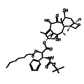 CCCCCCC(=O)O[C@@H](C(=O)O[C@H]1C[C@@]2(O)[C@@H](C)C3[C@]4(C)CO[C@@H]4C[C@H](O)[C@@]3(C)C(=O)[C@H](O)C(=C1C)C2(C)C)[C@@H](NC(=O)OC(C)(C)C)c1ccccc1